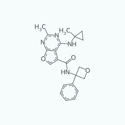 Cc1nc(NC2(C)CC2)c2c(C(=O)NC3(c4ccccc4)COC3)coc2n1